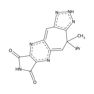 CC(C)C1(C)C=c2nc3c(nc2=Cc2n[nH]nc21)C(=O)NC3=O